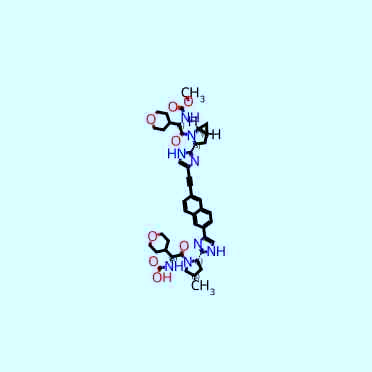 COC(=O)N[C@H](C(=O)N1[C@@H]2C[C@@H]2C[C@H]1c1nc(C#Cc2ccc3cc(-c4c[nH]c([C@@H]5C[C@H](C)CN5C(=O)[C@@H](NC(=O)O)C5CCOCC5)n4)ccc3c2)c[nH]1)C1CCOCC1